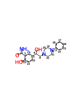 NC(=O)c1cc(C(O)CN2CCN(c3ccccc3)CC2)ccc1O